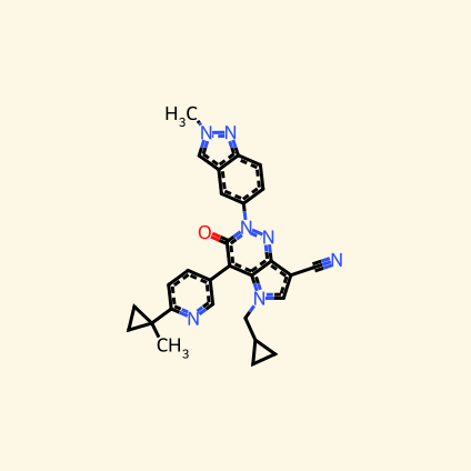 Cn1cc2cc(-n3nc4c(C#N)cn(CC5CC5)c4c(-c4ccc(C5(C)CC5)nc4)c3=O)ccc2n1